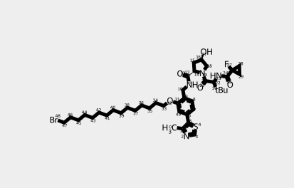 Cc1ncsc1-c1ccc(CNC(=O)[C@@H]2C[C@@H](O)CN2C(=O)C(NC(=O)C2(F)CC2)C(C)(C)C)c(OCCCCCCCCCCCCCCCBr)c1